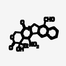 CCC1(O)C(=O)OCc2c1c([N+](=O)[O-])c1n(c2=O)Cc2c-1cc1ccccc1c2C=O